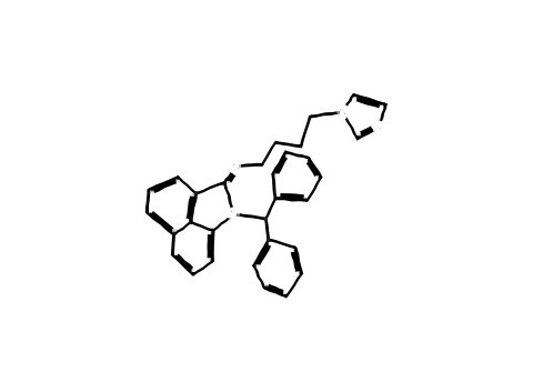 c1ccc(C(c2ccccc2)N2/C(=N\CCCCn3ccnc3)c3cccc4cccc2c34)cc1